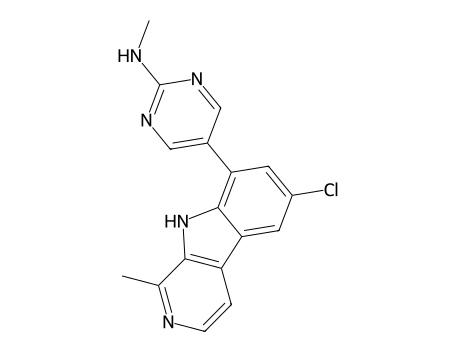 CNc1ncc(-c2cc(Cl)cc3c2[nH]c2c(C)nccc23)cn1